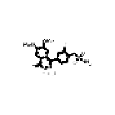 COc1cc2c(-c3ccc(CS(N)(=O)=O)c(F)c3)n[nH]c(=O)c2cc1OC.Cl